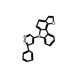 c1ccc(-c2cc(-n3c4ccccc4c4c5occc5ccc43)cnn2)cc1